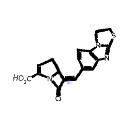 O=C(O)C1=CCC2/C(=C\c3ccc4c(c3)nc3n4CCS3)C(=O)N12